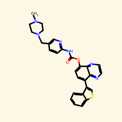 CN1CCN(Cc2ccc(NC(=O)Oc3ccc(-c4csc5ccccc45)c4nccnc34)nc2)CC1